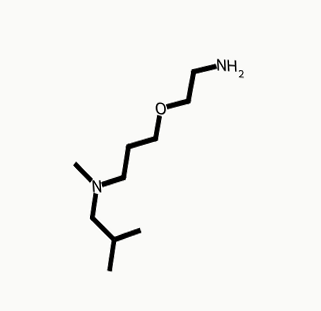 CC(C)CN(C)CCCOCCN